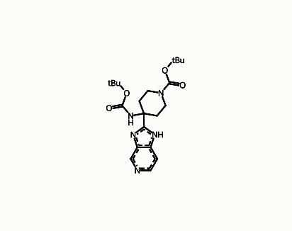 CC(C)(C)OC(=O)NC1(c2nc3cnccc3[nH]2)CCN(C(=O)OC(C)(C)C)CC1